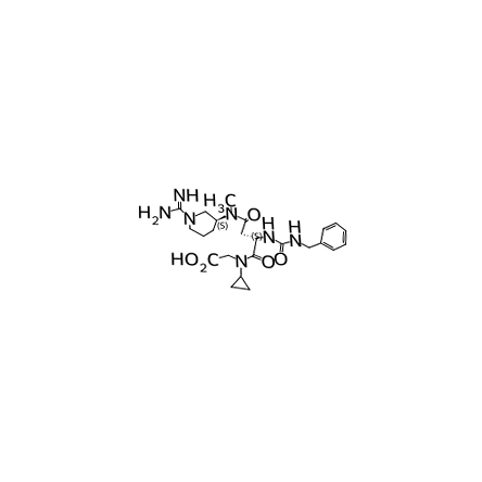 CN(C(=O)C[C@H](NC(=O)NCc1ccccc1)C(=O)N(CC(=O)O)C1CC1)[C@H]1CCCN(C(=N)N)C1